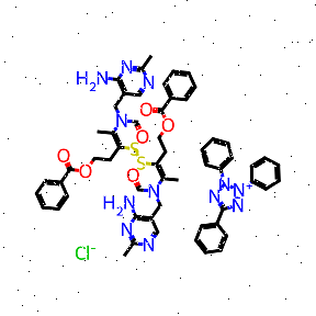 C/C(=C(\CCOC(=O)c1ccccc1)SS/C(CCOC(=O)c1ccccc1)=C(/C)N(C=O)Cc1cnc(C)nc1N)N(C=O)Cc1cnc(C)nc1N.[Cl-].c1ccc(-c2nn(-c3ccccc3)[n+](-c3ccccc3)n2)cc1